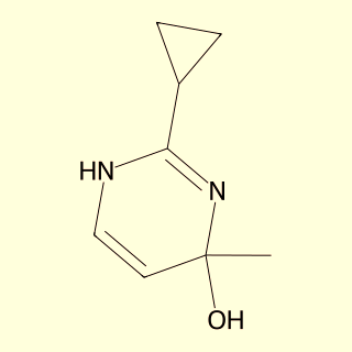 CC1(O)C=CNC(C2CC2)=N1